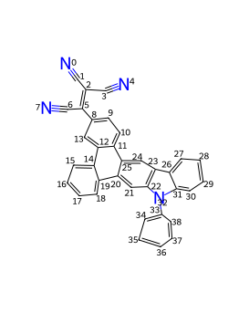 N#CC(C#N)=C(C#N)c1ccc2c(c1)c1ccccc1c1cc3c(cc21)c1ccccc1n3-c1ccccc1